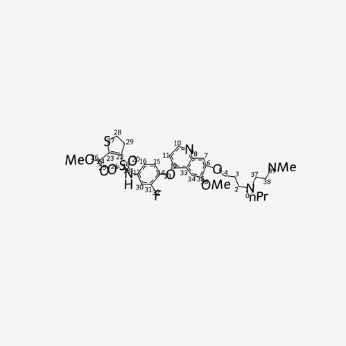 CCCN(CCCOc1cc2nccc(Oc3ccc(NS(=O)(=O)C4=C(C(=O)OC)SCC4)cc3F)c2cc1OC)CCNC